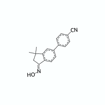 CC1(C)CC(=NO)c2ccc(-c3ccc(C#N)cc3)cc21